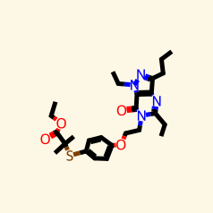 CCCc1nn(CC)c2c(=O)n(CCOc3ccc(SC(C)(C)C(=O)OCC)cc3)c(CC)nc12